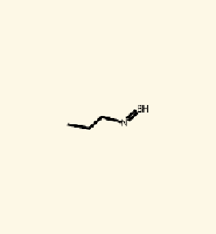 B=NCCC